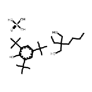 CC(C)(C)c1cc(C(C)(C)C)c(O)c(C(C)(C)C)c1.CCCCC(CC)(CO)CO.O=P(O)(O)O